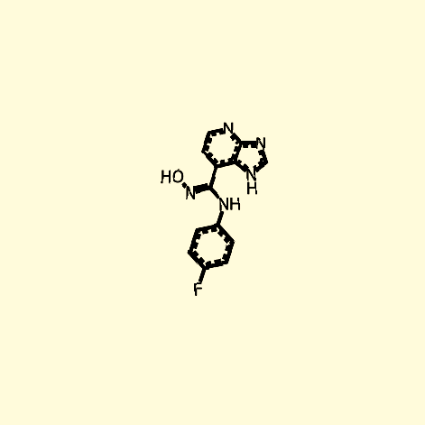 O/N=C(/Nc1ccc(F)cc1)c1ccnc2nc[nH]c12